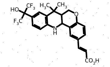 CC1(C)c2cc(C(O)(C(F)(F)F)C(F)(F)F)ccc2NC2c3cc(/C=C/C(=O)O)ccc3OCC21